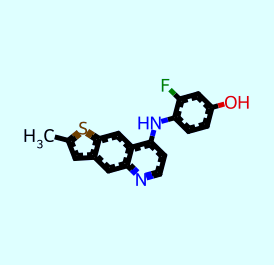 Cc1cc2cc3nccc(Nc4ccc(O)cc4F)c3cc2s1